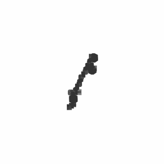 [N-]=[N+]=Nc1ccc(C(=O)NCCCOCCOCCOCCCN(Cc2ccccn2)Cc2ccccn2)cc1